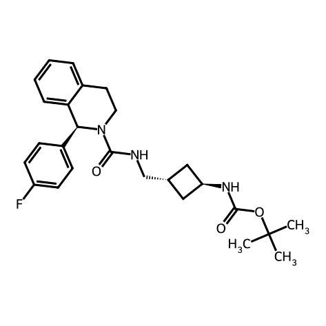 CC(C)(C)OC(=O)N[C@H]1C[C@H](CNC(=O)N2CCc3ccccc3[C@@H]2c2ccc(F)cc2)C1